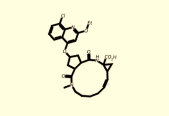 CCOc1cc(OC2CC3C(=O)NC4(C(=O)O)CC4/C=C\CCCCN(C)C(=O)C3C2)c2cccc(Cl)c2n1